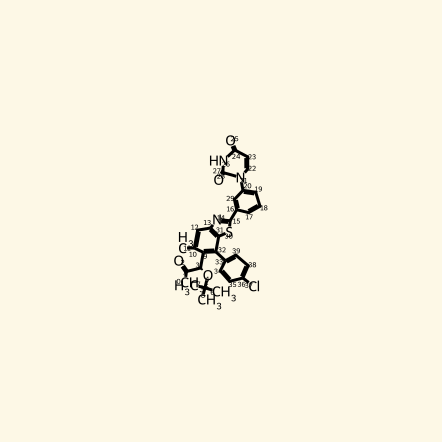 CC(=O)[C@@H](OC(C)(C)C)c1c(C)cc2nc(-c3cccc(-n4ccc(=O)[nH]c4=O)c3)sc2c1-c1ccc(Cl)cc1